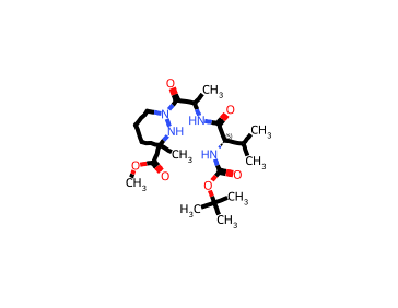 COC(=O)C1(C)CCCN(C(=O)C(C)NC(=O)[C@@H](NC(=O)OC(C)(C)C)C(C)C)N1